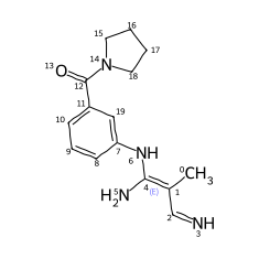 C/C(C=N)=C(/N)Nc1cccc(C(=O)N2CCCC2)c1